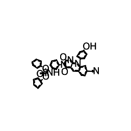 N#Cc1ccc2cc3c(=O)n(-c4cccc(NP(=O)(Oc5ccccc5)Oc5ccccc5)c4)c(=O)nc-3n(-c3ccc(O)cc3)c2c1